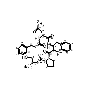 CC[C@H](C)[C@@H](CO)NC(=O)[C@@H]1CCCN1C(=O)C(O)[C@H](Cc1ccccc1)NC(=O)[C@H](CC(N)=O)NC(=O)OCc1ccccc1